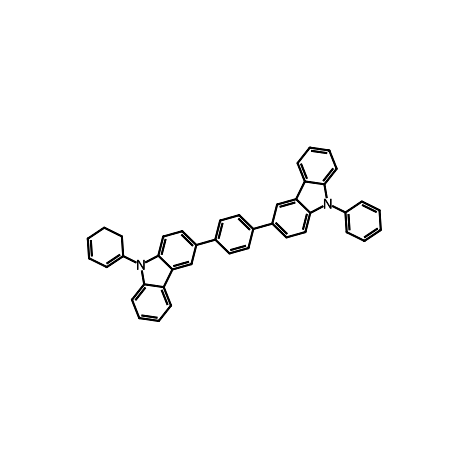 C1=CCCC(n2c3ccccc3c3cc(-c4ccc(-c5ccc6c(c5)c5ccccc5n6-c5ccccc5)cc4)ccc32)=C1